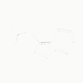 O=C(Cl)On1cnc2ccccc21